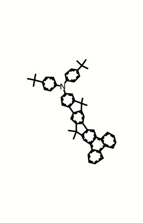 CC(C)(C)c1ccc(N(c2ccc(C(C)(C)C)cc2)c2ccc3c(c2)C(C)(C)c2cc4c(cc2-3)C(C)(C)c2cc3c5ccccc5c5ccccc5c3cc2-4)cc1